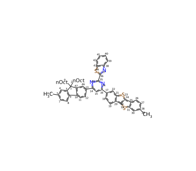 CCCCCCCCC1(CCCCCCCC)c2cc(C)ccc2-c2ccc(-c3cc(-c4ccc5c(c4)sc4c6ccc(C)cc6sc54)nc(-c4nc5ccccc5s4)n3)cc21